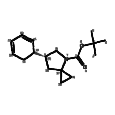 CC(C)(C)OC(=O)N1C[C@@H](C2C=CC=CC2)CC12CC2